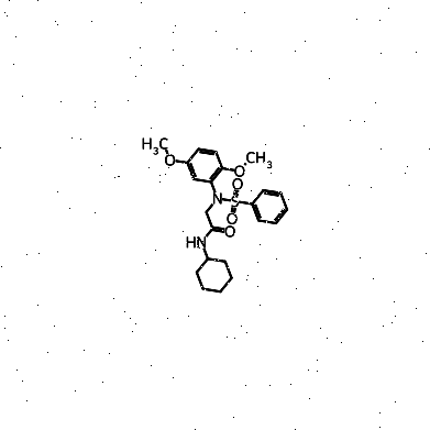 COc1ccc(OC)c(N(CC(=O)NC2CCCCC2)S(=O)(=O)c2ccccc2)c1